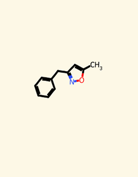 Cc1cc(Cc2ccccc2)no1